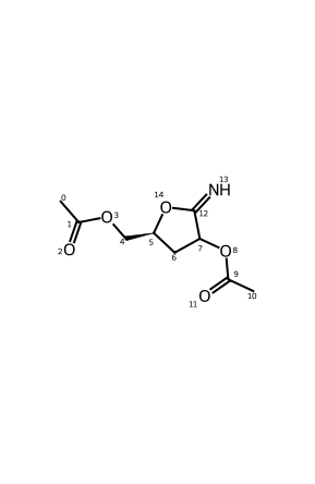 CC(=O)OC[C@@H]1CC(OC(C)=O)C(=N)O1